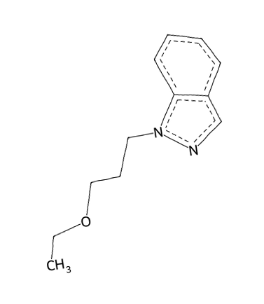 CCOCCCn1ncc2ccccc21